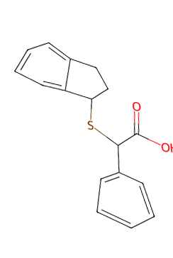 O=C(O)C(SC1CCc2ccccc21)c1ccccc1